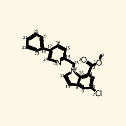 COC(=O)c1cc(Cl)cc2ccn(Cc3ccc(-c4ccccc4)cn3)c12